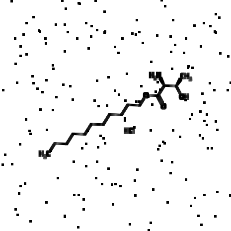 CCCCCCCCCCCOC(=O)[C@@H](N)[C@@H](C)O.Cl